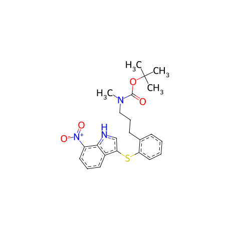 CN(CCCc1ccccc1Sc1c[nH]c2c([N+](=O)[O-])cccc12)C(=O)OC(C)(C)C